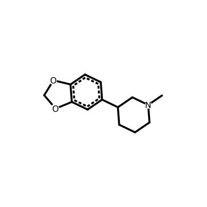 CN1CCCC(c2ccc3c(c2)OCO3)C1